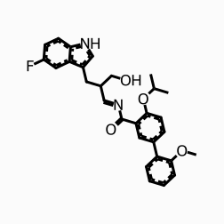 COc1ccccc1-c1ccc(OC(C)C)c(C(=O)N=CC(CO)Cc2c[nH]c3ccc(F)cc23)c1